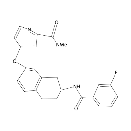 CNC(=O)c1cc(Oc2ccc3c(c2)CC(NC(=O)c2cccc(F)c2)CC3)ccn1